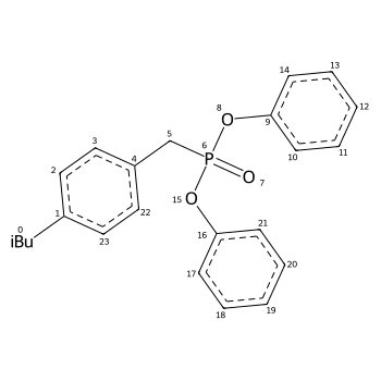 CCC(C)c1ccc(CP(=O)(Oc2ccccc2)Oc2ccccc2)cc1